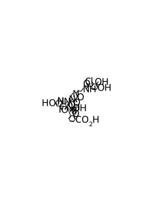 O=C(NCCCN1CCN(C(=O)NC(C(=O)N[C@H]2Cc3cccc(C(=O)O)c3OB2O)c2ncc(O)cc2F)C(=O)C1=O)c1ccc(O)c(O)c1Cl